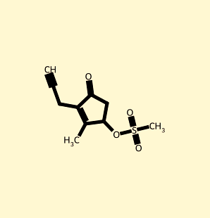 C#CCC1=C(C)C(OS(C)(=O)=O)CC1=O